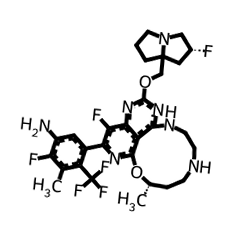 Cc1c(F)c(N)cc(-c2nc3c4c(nc(OCC56CCCN5C[C@H](F)C6)nc4c2F)NCCNCC[C@H](C)O3)c1C(F)(F)F